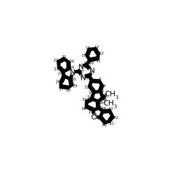 CC1(C)c2ccc(-c3nc(-c4ccccc4)nc(-n4c5ccccc5c5ccccc54)n3)cc2-c2ccc3oc4ccccc4c3c21